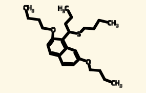 CCCCOc1ccc2ccc(OCCCC)c(C(CCC)SCCCC)c2c1